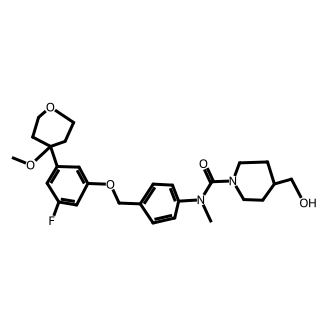 COC1(c2cc(F)cc(OCc3ccc(N(C)C(=O)N4CCC(CO)CC4)cc3)c2)CCOCC1